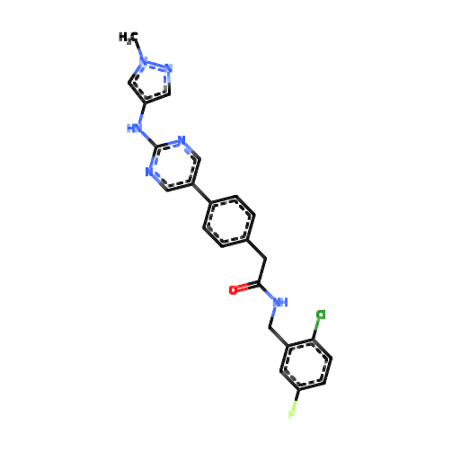 Cn1cc(Nc2ncc(-c3ccc(CC(=O)NCc4cc(F)ccc4Cl)cc3)cn2)cn1